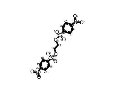 O=[N+]([O-])c1ccc(S(=O)(=O)OCCOS(=O)(=O)c2ccc([N+](=O)[O-])cc2)cc1